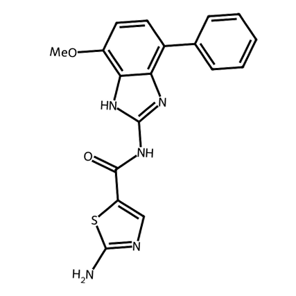 COc1ccc(-c2ccccc2)c2nc(NC(=O)c3cnc(N)s3)[nH]c12